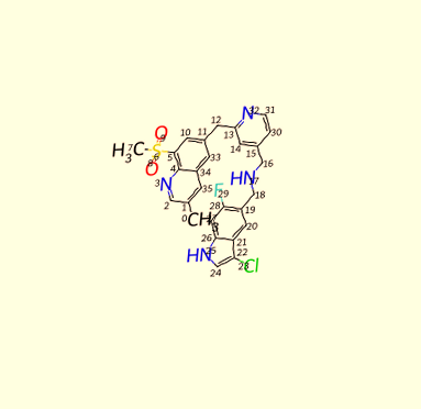 Cc1cnc2c(S(C)(=O)=O)cc(Cc3cc(CNCc4cc5c(Cl)c[nH]c5cc4F)ccn3)cc2c1